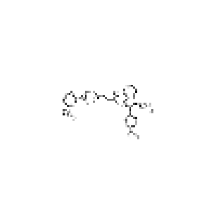 Cc1ccnc(N2CCN(CCC3Cn4c(-c5ccc(O)cc5)c(C)c5cccc(c54)O3)CC2)c1